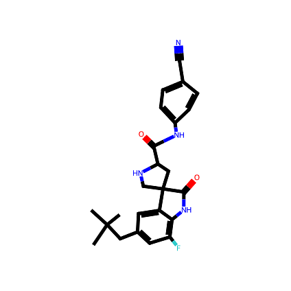 CC(C)(C)Cc1cc(F)c2c(c1)C1(CNC(C(=O)Nc3ccc(C#N)cc3)C1)C(=O)N2